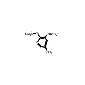 CCOC(=O)Oc1cc(N)cnc1OC(=O)OCC